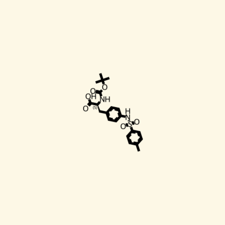 Cc1ccc(S(=O)(=O)Nc2ccc(C[C@H](NC(=O)OC(C)(C)C)C(=O)O)cc2)cc1